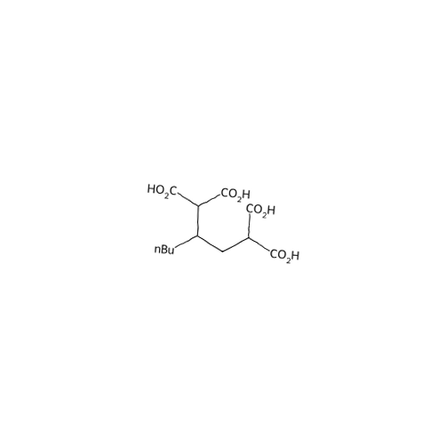 CCCCC(CC(C(=O)O)C(=O)O)C(C(=O)O)C(=O)O